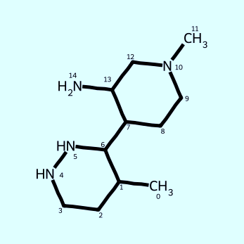 CC1CCNNC1C1CCN(C)CC1N